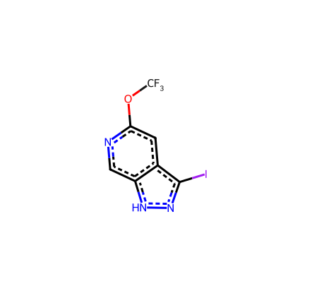 FC(F)(F)Oc1cc2c(I)n[nH]c2cn1